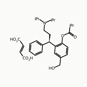 CC(C)C(=O)Oc1ccc(CO)cc1[C@H](CCN(C(C)C)C(C)C)c1ccccc1.O=C(O)/C=C/C(=O)O